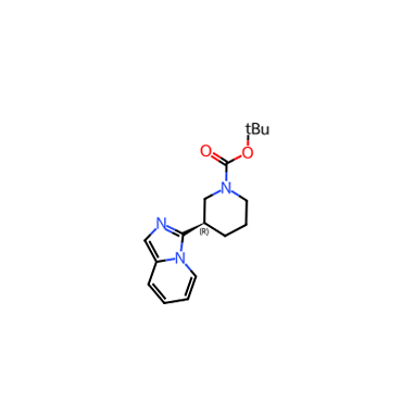 CC(C)(C)OC(=O)N1CCC[C@@H](c2ncc3ccccn23)C1